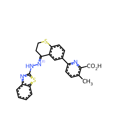 Cc1ccc(-c2ccc3c(c2)/C(=N/Nc2nc4ccccc4s2)CCS3)nc1C(=O)O